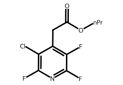 CCCOC(=O)Cc1c(F)c(F)nc(F)c1Cl